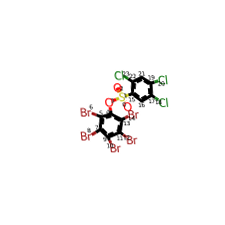 O=S(=O)(Oc1c(Br)c(Br)c(Br)c(Br)c1Br)c1cc(Cl)c(Cl)cc1Cl